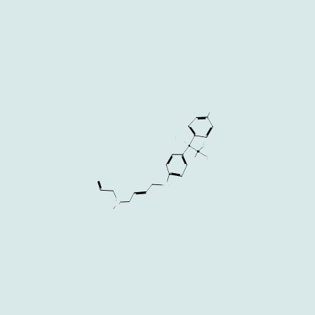 C=CCN(C)C/C=C/COc1ccc([C@](O)(c2ccc(Br)cc2)C(F)(F)F)cc1